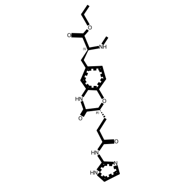 CCOC(=O)[C@H](Cc1ccc2c(c1)NC(=O)[C@@H](CCC(=O)Nc1ncc[nH]1)O2)NC